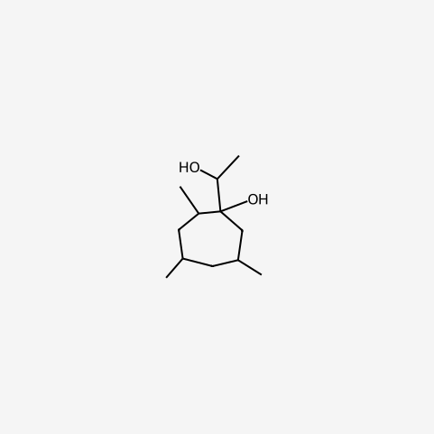 CC1CC(C)CC(O)(C(C)O)C(C)C1